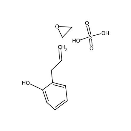 C1CO1.C=CCc1ccccc1O.O=S(=O)(O)O